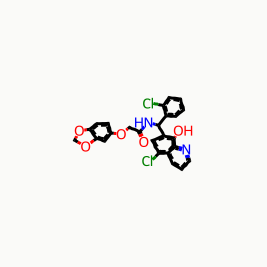 O=C(COc1ccc2c(c1)OCO2)NC(c1ccccc1Cl)c1cc(Cl)c2cccnc2c1O